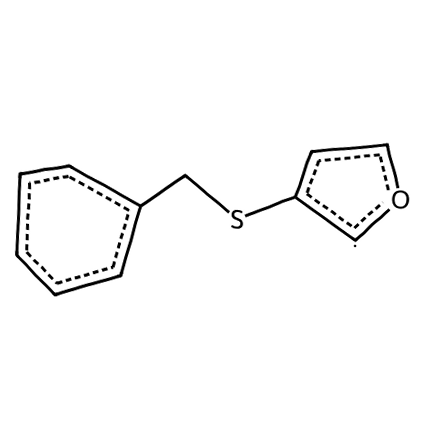 [c]1occc1SCc1ccccc1